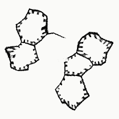 Ic1cccc2ccccc12.c1ccc2c(c1)[nH]c1ccccc12